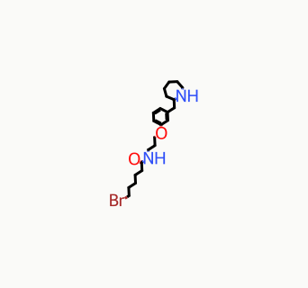 O=C(CCCCCBr)NCCCOc1cccc(CC2CCCCCN2)c1